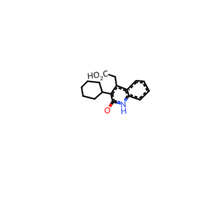 O=C(O)Cc1c(C2CCCCC2)c(=O)[nH]c2ccccc12